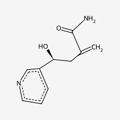 C=C(C[C@H](O)c1cccnc1)C(N)=O